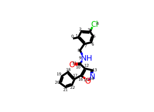 Cc1cc(Cl)ccc1CNC(=O)c1cnoc1-c1ccccc1